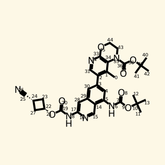 Cc1c(-c2cc(NC(=O)OC(C)(C)C)c3cnc(NC(=O)O[C@H]4C[C@@H](C#N)C4)cc3c2)cnc2c1N(C(=O)OC(C)(C)C)CCO2